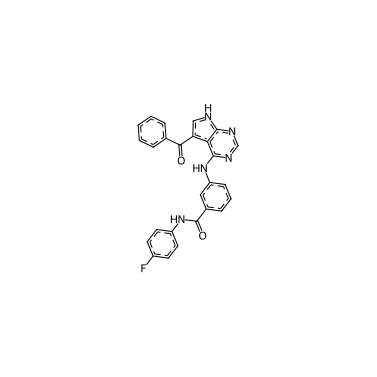 O=C(Nc1ccc(F)cc1)c1cccc(Nc2ncnc3[nH]cc(C(=O)c4ccccc4)c23)c1